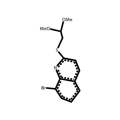 COC(CSc1ccc2cccc(Br)c2n1)OC